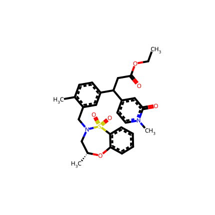 CCOC(=O)CC(c1ccc(C)c(CN2C[C@@H](C)Oc3ccccc3S2(=O)=O)c1)c1ccn(C)c(=O)c1